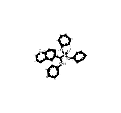 O=P(Oc1ccccc1)(Oc1ccccc1)C(Nc1ccccc1)c1ccc2ncccc2c1